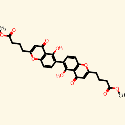 COC(=O)CCCc1cc(=O)c2c(O)c(-c3ccc4oc(CCCC(=O)OC)cc(=O)c4c3O)ccc2o1